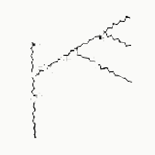 CCCCCCCCCCCOC(=O)CCCCCN(CCCCCCCC(=O)O)CCCNC(=O)CCC(=O)NCCCN(CCCCCCCC(=O)OC(CCCCCCCC)CCCCCCCC)CCCCCC(=O)OCCCCCCCCCCC